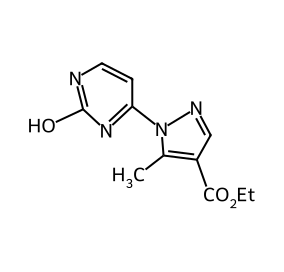 CCOC(=O)c1cnn(-c2ccnc(O)n2)c1C